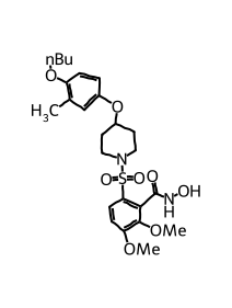 CCCCOc1ccc(OC2CCN(S(=O)(=O)c3ccc(OC)c(OC)c3C(=O)NO)CC2)cc1C